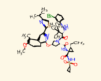 CC[C@@H]1C[C@]1(NC(=O)[C@@H]1C[C@@H](Oc2nc(-c3nc(C(C)C)cs3)cc3c(C)c(OC)ccc23)CN1C(=O)[C@@H](Nc1cccc(Br)c1)C(C)(C)C)C(=O)NS(=O)(=O)C1CC1